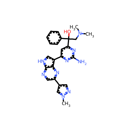 CN(C)CC(O)(c1ccccc1)c1cc(-c2c[nH]c3ncc(-c4cnn(C)c4)nc23)nc(N)n1